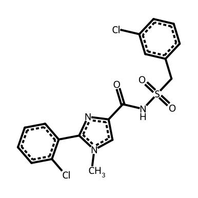 Cn1cc(C(=O)NS(=O)(=O)Cc2cccc(Cl)c2)nc1-c1ccccc1Cl